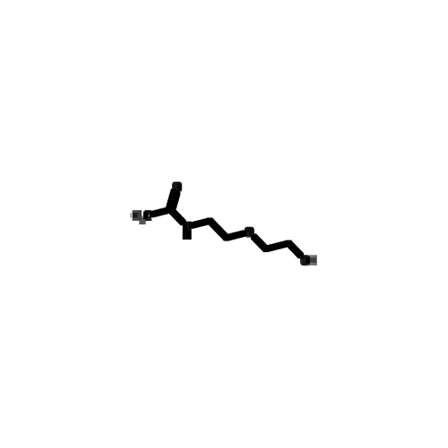 [CH2]C(=O)NCCOCCO